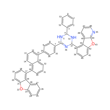 c1ccc(C2NC(c3ccc(-c4cccc5c(-c6cccc7oc8ccccc8c67)cccc45)cc3)=NC(c3cccc4oc5ncccc5c34)N2)cc1